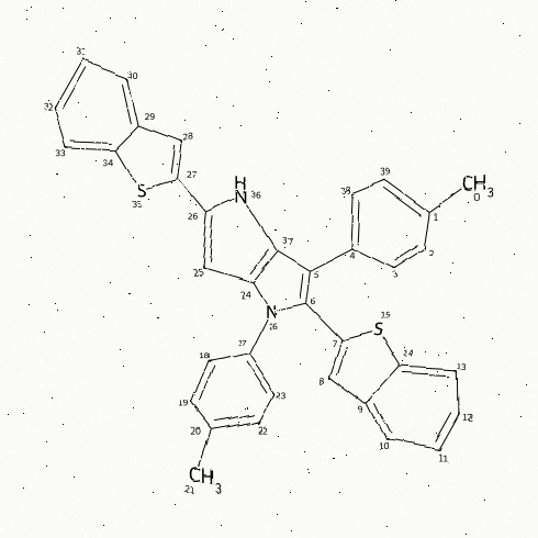 Cc1ccc(-c2c(-c3cc4ccccc4s3)n(-c3ccc(C)cc3)c3cc(-c4cc5ccccc5s4)[nH]c23)cc1